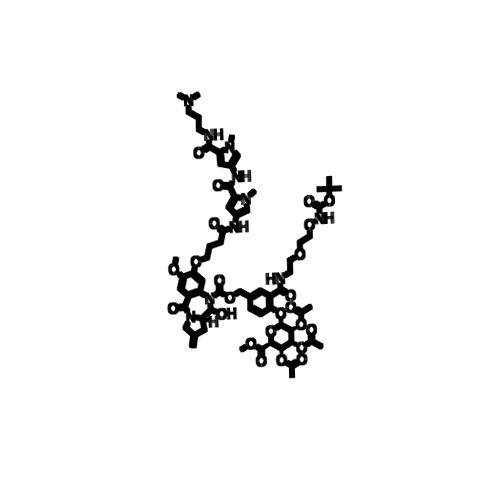 C=C1C[C@H]2C(O)N(C(=O)OCc3ccc(O[C@@H]4O[C@H](C(=O)OC)[C@@H](OC(C)=O)[C@H](OC(C)=O)[C@H]4OC(C)=O)c(C(=O)NCCOCCONC(=O)OC(C)(C)C)c3)c3cc(OCCCC(=O)Nc4cc(C(=O)Nc5cc(C(=O)NCCCN(C)C)n(C)c5)n(C)c4)c(OC)cc3C(=O)N2C1